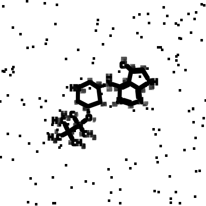 CC(C)(C)[Si](C)(C)O[C@@H]1CNC[C@H](Nc2ncnc3[nH]cc(Cl)c23)C1